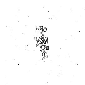 CC(C)OCc1ccc([C@]2(C)NC(=O)N(CCC(=O)O)C=C2C(C)C)cc1Cl